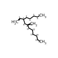 C=CC(CCCCC)CC(=C)CCCCCC